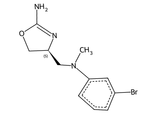 CN(C[C@H]1COC(N)=N1)c1cccc(Br)c1